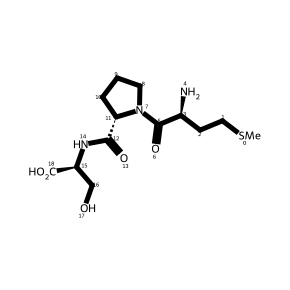 CSCC[C@H](N)C(=O)N1CCC[C@H]1C(=O)N[C@@H](CO)C(=O)O